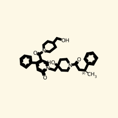 C[C@H](CC(=O)N1CCC(O)(Cn2cc(C(=O)N3CCC(CO)CC3)c(-c3ccccc3)cc2=O)CC1)c1ccccc1